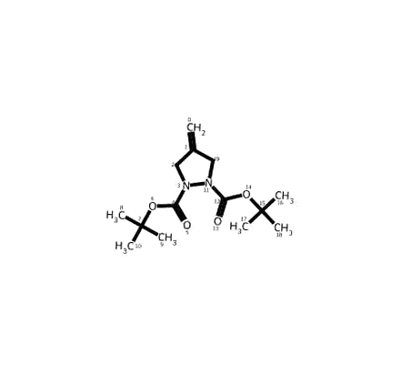 C=C1CN(C(=O)OC(C)(C)C)N(C(=O)OC(C)(C)C)C1